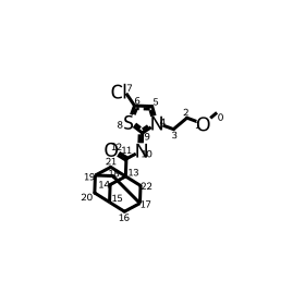 COCCn1cc(Cl)sc1=NC(=O)C12CC3CC(CC(C3)C1)C2